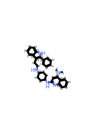 CN(C)c1cc(NC2CCC(NCCc3c(-c4ccccc4)[nH]c4ccccc34)CC2)nc2ccccc12